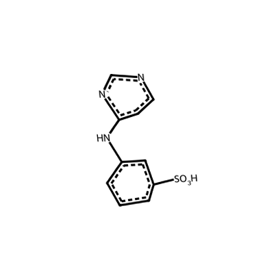 O=S(=O)(O)c1cccc(Nc2ccncn2)c1